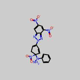 NN(c1ccccc1)C1([N+](=O)[O-])C=CC(n2nc3cc([N+](=O)[O-])cc([N+](=O)[O-])c3n2)=CC1